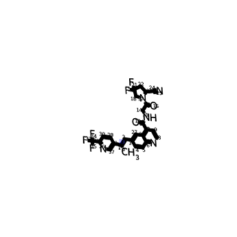 C/C(=C\c1ccc2nccc(C(=O)NCC(=O)N3CC(F)(F)CC3C#N)c2c1)c1ccc(C(F)(F)F)nc1